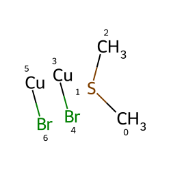 CSC.[Cu][Br].[Cu][Br]